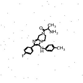 Cc1ccc(Nc2c(-c3ccc(F)cc3)nc3n2CCN(C(=O)C(C)N)C3)cc1